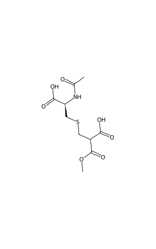 COC(=O)C(CSC[C@H](NC(C)=O)C(=O)O)C(=O)O